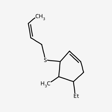 C/C=C\CSC1C=CCC(CC)C1C